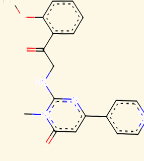 Cn1c(NCC(=O)c2ccccc2OC(F)(F)F)nc(-c2ccncc2)cc1=O